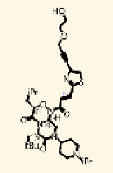 CC(C)C[C@H]1ON(C(=O)/C=C/c2nc(C#CCOCCO)cs2)[C@H]2CN(C3CCN(C(C)C)CC3)C(=O)[C@H](CC(C)(C)C)N2C1=O